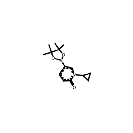 CC1(C)OB(c2ccc(=O)n(C3CC3)c2)OC1(C)C